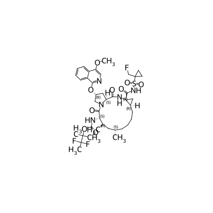 COc1cnc(O[C@@H]2C[C@H]3C(=O)N[C@]4(C(=O)NS(=O)(=O)C5(CF)CC5)C[C@H]4CCCC[C@H](C)C[C@@H](C)[C@H](NC(=O)OC(C)(C)C(C)(F)F)C(=O)N3C2)c2ccccc12